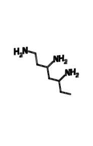 CCC(N)CC(N)CCN